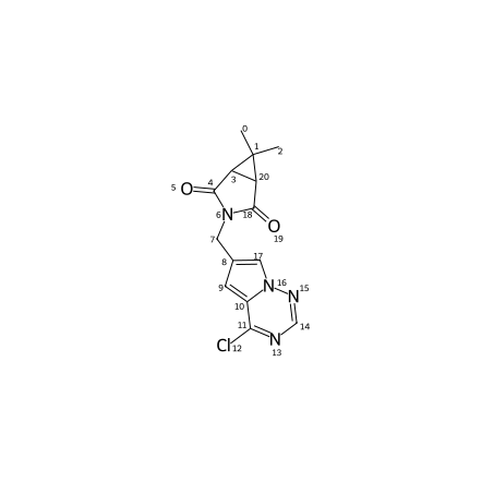 CC1(C)C2C(=O)N(Cc3cc4c(Cl)ncnn4c3)C(=O)C21